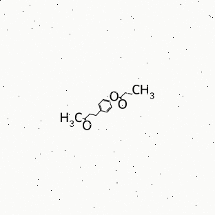 CCCC(=O)Oc1ccc(CCC(C)=O)cc1